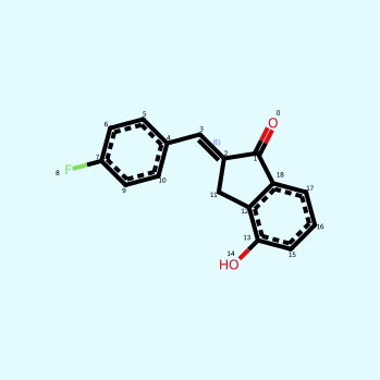 O=C1/C(=C/c2ccc(F)cc2)Cc2c(O)cccc21